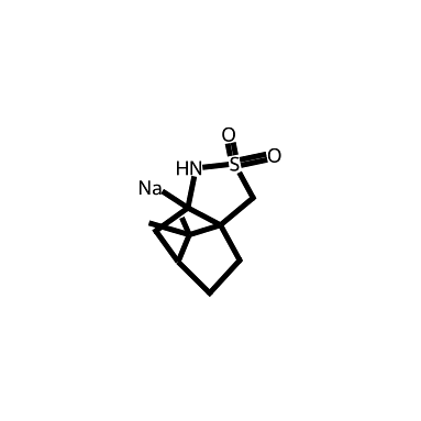 CC1(C)C2CCC13CS(=O)(=O)N[C]3([Na])C2